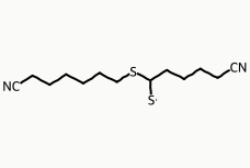 N#CCCCCCCSC([S])CCCCC#N